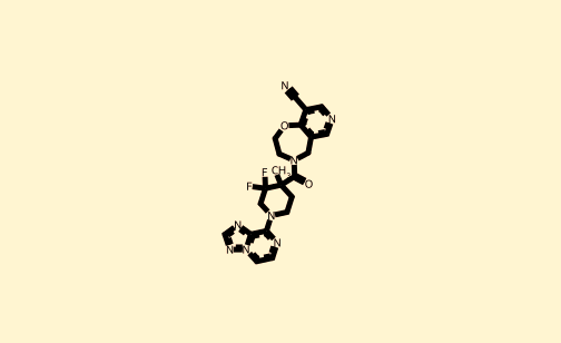 CC1(C(=O)N2CCOc3c(C#N)cncc3C2)CCN(c2nccn3ncnc23)CC1(F)F